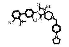 CCN1C(=O)N(c2ccc(-c3cccc(C#N)c3N(C)C)cc2Cl)C(=O)C12CCN(Cc1ccc(N3CCCC3)cc1)CC2